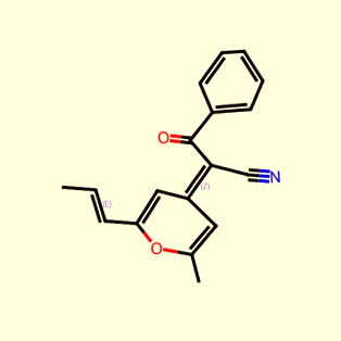 C/C=C/C1=CC(=C(/C#N)C(=O)c2ccccc2)/C=C(C)O1